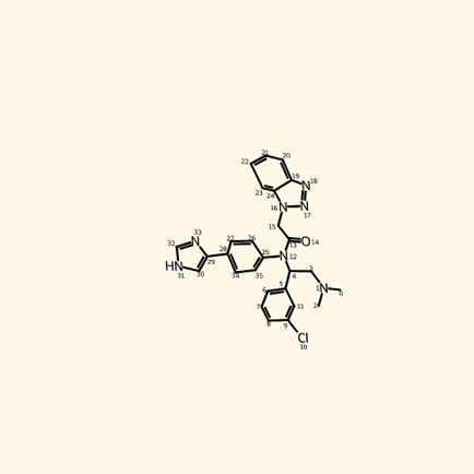 CN(C)CC(c1cccc(Cl)c1)N(C(=O)Cn1nnc2ccccc21)c1ccc(-c2c[nH]cn2)cc1